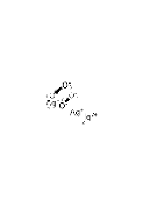 [Ag+].[Ag+].[Hg+2].[O-][O-].[O-][O-]